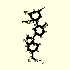 COc1c(F)cc(F)cc1-c1cc(-n2cnc3cc([C@@H](C)N)ccc32)ccc1F